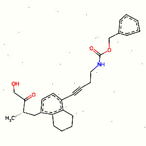 C[C@@H](Cc1ccc(C#CCCNC(=O)OCc2ccccc2)c2c1CCCC2)C(=O)CO